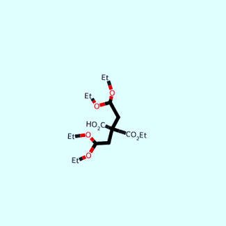 CCOC(=O)C(CC(OCC)OCC)(CC(OCC)OCC)C(=O)O